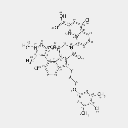 Cc1cc(OCCCc2c3n(c4c(-c5c(C)nn(C)c5C)c(Cl)ccc24)C(C)CN(c2cccc4c(Cl)cc(C(=O)O)nc24)C3=O)cc(C)c1Cl